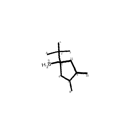 BC1(C(C)(C)C)CC(C)C(C)C1